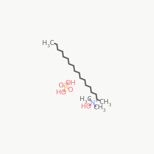 CCCCCCCCCCCCCCCCC(C)[N+](C)(C)O.O=P([O-])(O)O